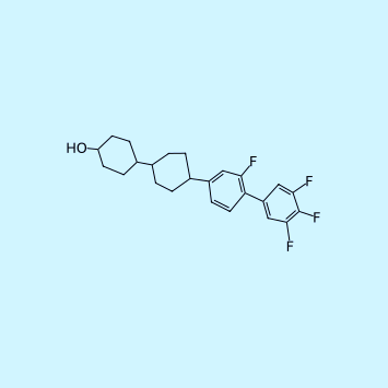 OC1CCC(C2CCC(c3ccc(-c4cc(F)c(F)c(F)c4)c(F)c3)CC2)CC1